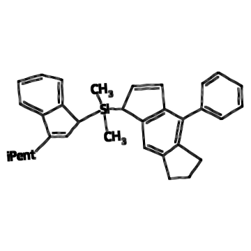 CCCC(C)C1=CC([Si](C)(C)C2C=Cc3c2cc2c(c3-c3ccccc3)CCC2)c2ccccc21